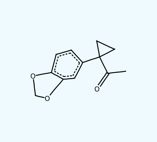 CC(=O)C1(c2ccc3c(c2)OCO3)CC1